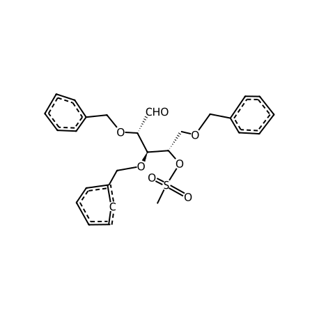 CS(=O)(=O)O[C@@H](COCc1ccccc1)[C@@H](OCc1ccccc1)[C@@H](C=O)OCc1ccccc1